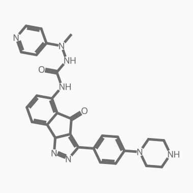 CN(NC(=O)Nc1cccc2c1C(=O)C1=C(c3ccc(N4CCNCC4)cc3)N=NC12)c1ccncc1